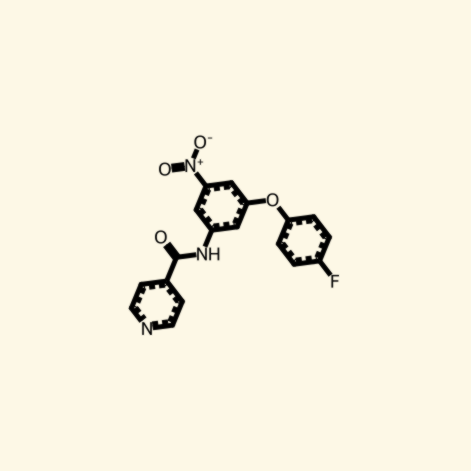 O=C(Nc1cc(Oc2ccc(F)cc2)cc([N+](=O)[O-])c1)c1ccncc1